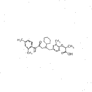 Cc1ccc(NC(=O)CN(Cc2ccc(OC(C)C(=O)O)c(C)c2)C2CCCCC2)c(C)c1